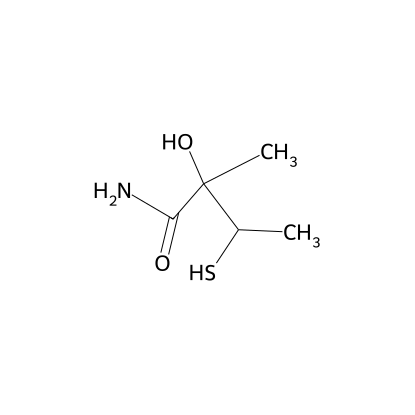 CC(S)C(C)(O)C(N)=O